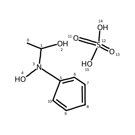 CC(O)N(O)c1ccccc1.O=S(=O)(O)O